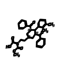 COC(=O)N(CCN1C[C@H](C(=O)c2ccccc2)C(c2cccc(C)c2C)[C@@H](C(=O)c2ccccc2)C1)C(=O)O